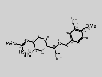 CN/C(S)=N/C1CO[C@H]([C@@H](OCc2ccc(OC)c(C(F)(F)F)c2)C(F)(F)F)C[C@@H]1O